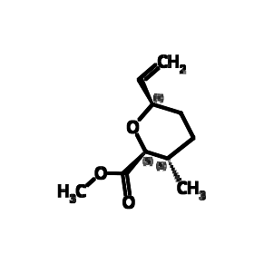 C=C[C@H]1CC[C@H](C)[C@@H](C(=O)OC)O1